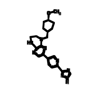 CO[C@H]1CC[C@@H](CN2CCNc3ncc(-c4ccc(-c5nc[nH]n5)nc4)nc32)CC1